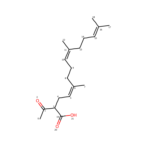 CC(=O)C(CC=C(C)CCC=C(C)CCC=C(C)C)C(=O)O